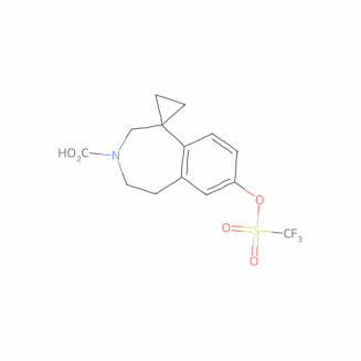 O=C(O)N1CCc2cc(OS(=O)(=O)C(F)(F)F)ccc2C2(CC2)C1